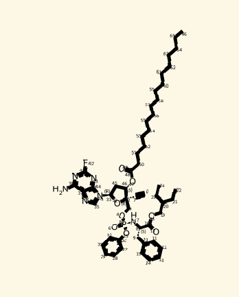 C#C[C@]1(CO[P@@](=O)(N[C@@H](Cc2ccccc2)C(=O)OCC(CC)CC)Oc2ccccc2)O[C@@H](n2cnc3c(N)nc(F)nc32)C[C@@H]1OC(=O)CCCCCCCCCCCCCCCCC